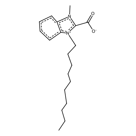 CCCCCCCCCC[n+]1c(C(=O)[O-])n(C)c2ccccc21